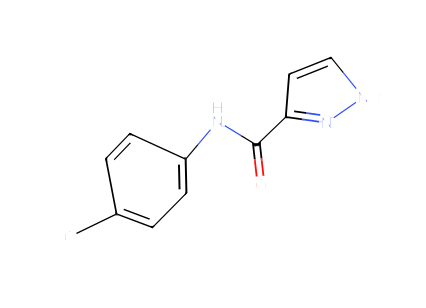 Cc1ccc(NC(=O)c2cc[nH]n2)cc1